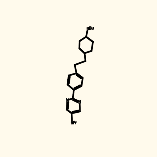 CCCCC1CCC(CCc2ccc(-c3ncc(CCC)cn3)cc2)CC1